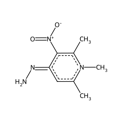 Cc1cc(=NN)c([N+](=O)[O-])c(C)n1C